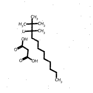 O=C(O)CC(=O)O.[Li][C](C)(CCCCCCCCC)C(C)(C)C